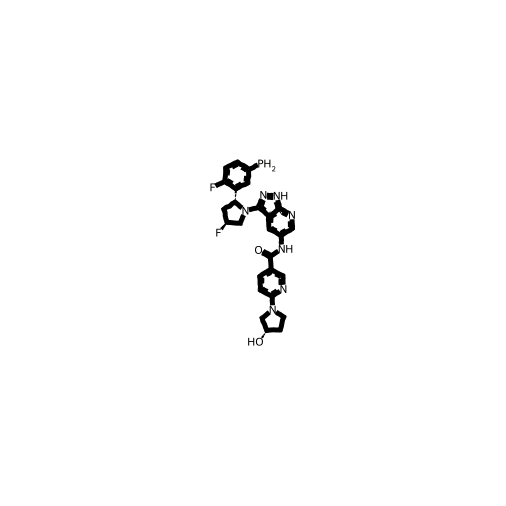 O=C(Nc1cnc2[nH]nc(N3C[C@@H](F)C[C@@H]3c3cc(P)ccc3F)c2c1)c1ccc(N2CC[C@H](O)C2)nc1